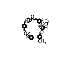 Cc1ccc(COc2ccc(Oc3c(C)cc(/C=C/C(=O)N4CCN(Cc5ccc(CCOc6nc7ccccc7s6)cc5)CC4)cc3Cl)nc2)cc1.Cl